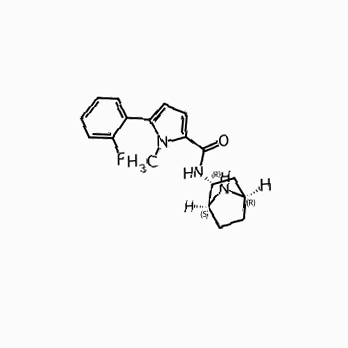 Cn1c(C(=O)N[C@@H]2C[C@H]3CC[C@@H]2N3)ccc1-c1ccccc1F